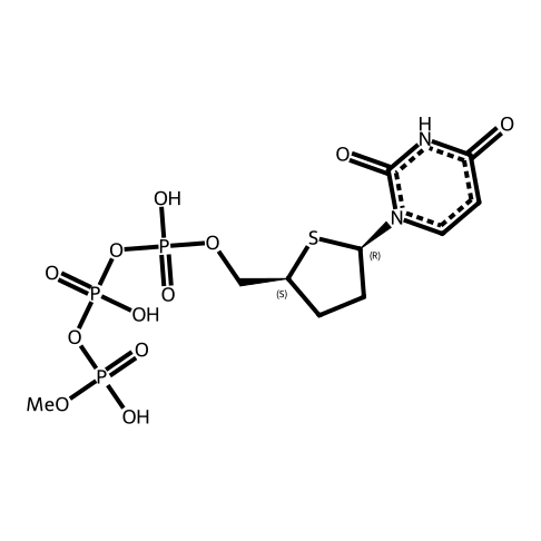 COP(=O)(O)OP(=O)(O)OP(=O)(O)OC[C@@H]1CC[C@H](n2ccc(=O)[nH]c2=O)S1